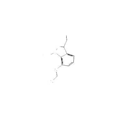 CCC1OB(C)c2c(NCN)cccc21